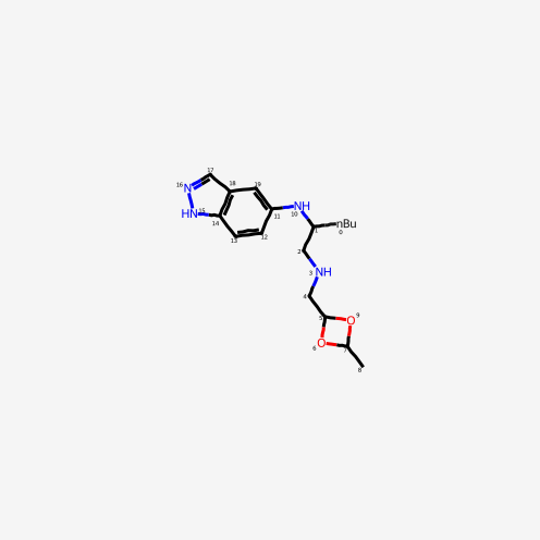 CCCCC(CNCC1OC(C)O1)Nc1ccc2[nH]ncc2c1